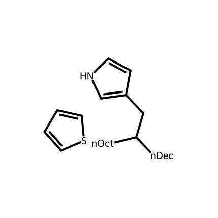 CCCCCCCCCCC(CCCCCCCC)Cc1cc[nH]c1.c1ccsc1